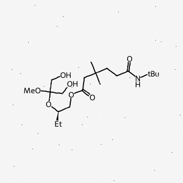 CC[C@H](COC(=O)CC(C)(C)CCC(=O)NC(C)(C)C)OC(CO)(CO)OC